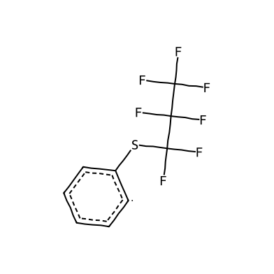 FC(F)(F)C(F)(F)C(F)(F)Sc1[c]cccc1